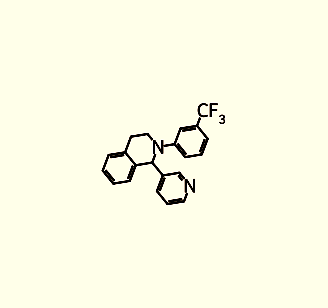 FC(F)(F)c1cccc(N2CCc3ccccc3C2c2cccnc2)c1